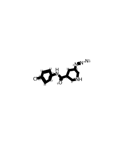 [N-]=[N+]=NC1CNCC(C(=O)Nc2ccc(Cl)cc2)C1